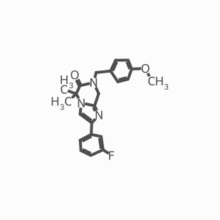 COc1ccc(CN2Cc3nc(-c4cccc(F)c4)cn3C(C)(C)C2=O)cc1